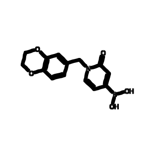 O=c1cc(B(O)O)ccn1Cc1ccc2c(c1)OCCO2